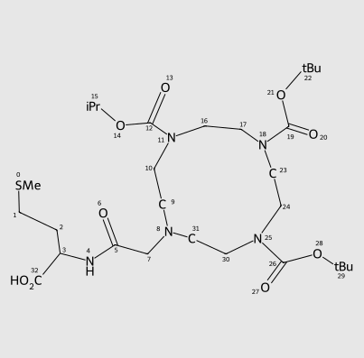 CSCCC(NC(=O)CN1CCN(C(=O)OC(C)C)CCN(C(=O)OC(C)(C)C)CCN(C(=O)OC(C)(C)C)CC1)C(=O)O